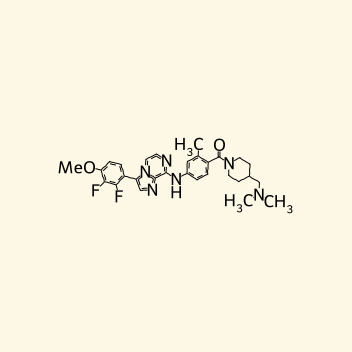 COc1ccc(-c2cnc3c(Nc4ccc(C(=O)N5CCC(CN(C)C)CC5)c(C)c4)nccn23)c(F)c1F